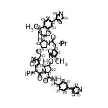 Cc1cc([C@H](C(=O)N2C[C@H](OCc3cc([C@H](C(=O)N4C[C@H](O)C[C@H]4C(=O)NCc4ccc(-c5cncs5)cc4)C(C)C)on3)C[C@H]2C(=O)N[C@@H](C)c2ccc(-c3cncs3)cc2)C(C)C)on1